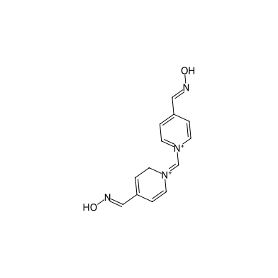 ON=CC1=CC/[N+](=C\[n+]2ccc(C=NO)cc2)C=C1